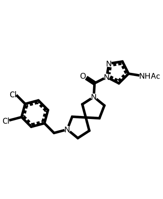 CC(=O)Nc1cnn(C(=O)N2CCC3(CCN(Cc4ccc(Cl)c(Cl)c4)C3)C2)c1